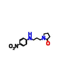 O=C1CCCN1CCCNc1ccc([N+](=O)[O-])cc1